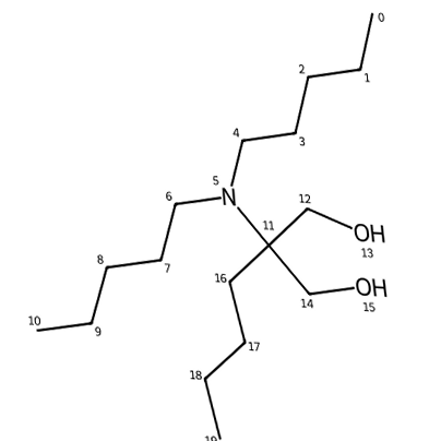 CCCCCN(CCCCC)C(CO)(CO)CCCC